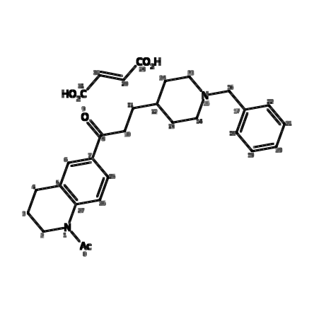 CC(=O)N1CCCc2cc(C(=O)CCC3CCN(Cc4ccccc4)CC3)ccc21.O=C(O)C=CC(=O)O